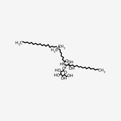 CCCCCCCCCCCCCCCCCC[Si](C)(C)CCCCCCC(=O)N[C@@H](COC1OC(CO)C(O)C(O)C1O)[C@H](O)[C@H](O)CCCCCCCCCCCCCC